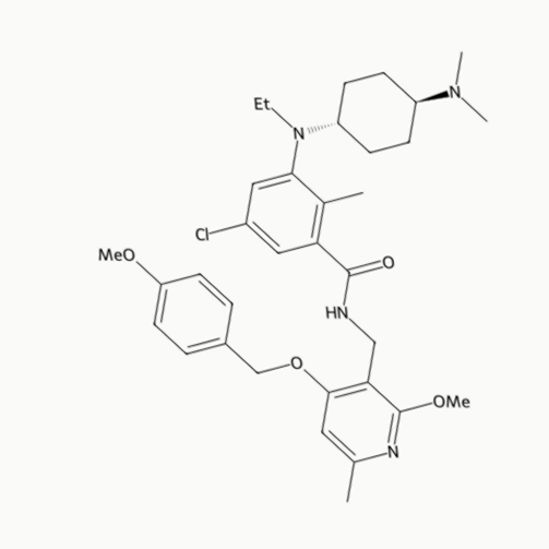 CCN(c1cc(Cl)cc(C(=O)NCc2c(OCc3ccc(OC)cc3)cc(C)nc2OC)c1C)[C@H]1CC[C@H](N(C)C)CC1